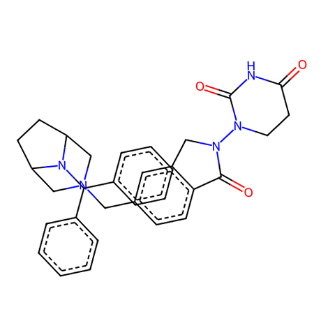 O=C1CCN(N2Cc3cc(CN4CC5CCC(C4)N5C(c4ccccc4)c4ccccc4)ccc3C2=O)C(=O)N1